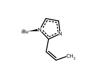 C/C=C\c1nccn1[C@H](C)CC